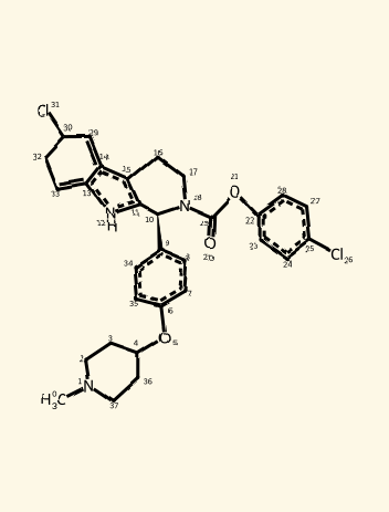 CN1CCC(Oc2ccc([C@H]3c4[nH]c5c(c4CCN3C(=O)Oc3ccc(Cl)cc3)=CC(Cl)CC=5)cc2)CC1